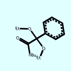 CCCCC(=O)C(OCC)(OCC)c1ccccc1